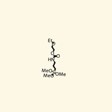 CCOCCOC(=O)NCCC[Si](OC)(OC)OC